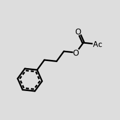 CC(=O)C(=O)OCCCc1ccccc1